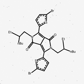 CCCCC(CC)CN1C(=O)C2=C(c3ccc(Br)s3)N(CC(CC)CCCC)C(=O)C2=C1c1ccc(Br)s1